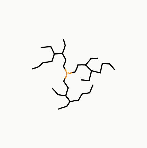 CCCCC(CC)C(CC)CCP(CCC(CC)C(CC)CCCC)CCC(CC)C(CC)CCCC